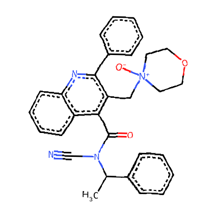 CC(c1ccccc1)N(C#N)C(=O)c1c(C[N+]2([O-])CCOCC2)c(-c2ccccc2)nc2ccccc12